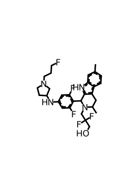 Cc1ccc2c3c([nH]c2c1)C(c1c(F)cc(NC2CCN(CCCF)C2)cc1F)N(CC(F)(F)CO)C(C)C3